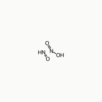 N=O.O=NO